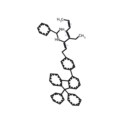 C\C=C/C=C(CC)/C(=C/Cc1ccc(-c2cccc3c2-c2ccccc2C3(c2ccccc2)c2ccccc2)cc1)NC(N)c1ccccc1